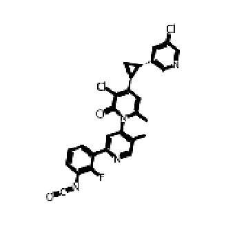 Cc1cnc(-c2cccc(N=C=O)c2F)cc1-n1c(C)cc([C@H]2C[C@@H]2c2cncc(Cl)c2)c(Cl)c1=O